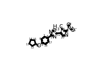 Cn1c(-c2nc(-c3ccc(OC4CCCC4)cc3)no2)cnc1[N+](=O)[O-]